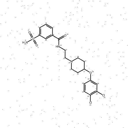 NS(=O)(=O)c1cccc(C(=O)NCCN2CCC(Oc3ccc(Cl)c(Cl)c3)CC2)c1